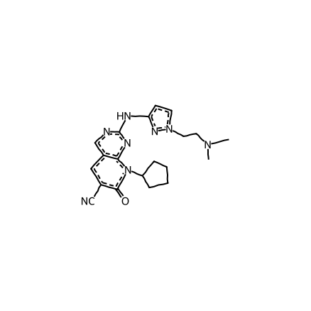 CN(C)CCn1ccc(Nc2ncc3cc(C#N)c(=O)n(C4CCCC4)c3n2)n1